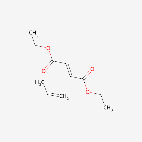 C=CC.CCOC(=O)/C=C/C(=O)OCC